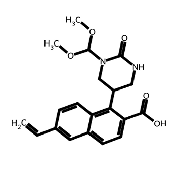 C=Cc1ccc2c(C3CNC(=O)N(C(OC)OC)C3)c(C(=O)O)ccc2c1